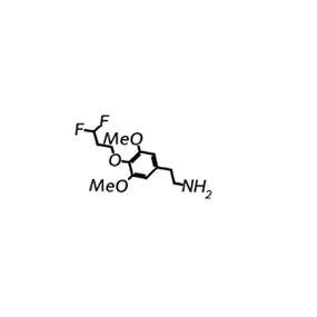 COc1cc(CCN)cc(OC)c1OCCC(F)F